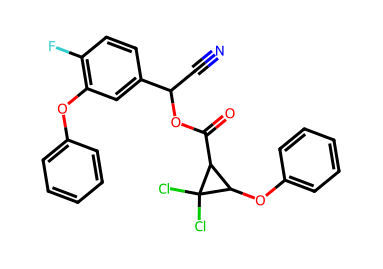 N#CC(OC(=O)C1C(Oc2ccccc2)C1(Cl)Cl)c1ccc(F)c(Oc2ccccc2)c1